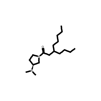 CCCCCC(CCCC)CC(=O)N1CC[C@H](N(C)C)C1